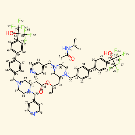 CC(C)NC(=O)C[C@@H]1CN(Cc2ccc(-c3ccc(C(O)(C(F)(F)F)C(F)(F)F)cc3)cc2)C(CC(C)OC(=O)C[C@H]2CN(Cc3ccc(-c4ccc(C(O)(C(F)(F)F)C(F)(F)F)cc4)cc3)CCN2Cc2ccncc2)CN1Cc1ccncc1